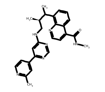 CNC(=O)c1ccnc2c(C(C)[C@H](C)CNc3cc(-c4ccnc(C)c4)ncn3)cccc12